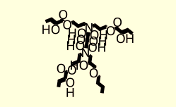 CC=C(O)C(=O)OCCCN(CCCOC(=O)C(O)=CC)C(O)(O)C(O)(O)C(O)(O)N(CCCOC(=O)C(O)=CC)CC(O)COCCCC